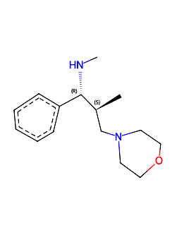 CN[C@@H](c1ccccc1)[C@@H](C)CN1CCOCC1